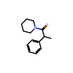 CC(C(=S)N1CCCCC1)c1ccccc1